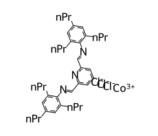 CCCc1cc(CCC)c(N=Cc2cccc(C=Nc3c(CCC)cc(CCC)cc3CCC)n2)c(CCC)c1.[Cl-].[Cl-].[Cl-].[Co+3]